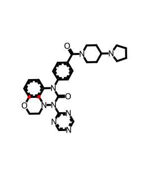 O=C(c1ccc(N(C(=O)N(c2ncncn2)N2CCOCC2)c2ccccc2)cc1)N1CCC(N2CCCC2)CC1